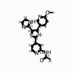 COc1ccc(-c2nc(-c3ccnc(NC(C)=O)c3)sc2-c2ncc[nH]2)cn1